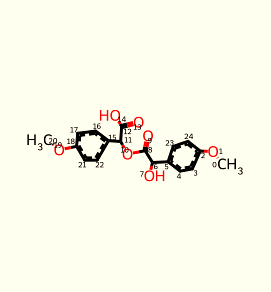 COc1ccc(C(O)C(=O)OC(C(=O)O)c2ccc(OC)cc2)cc1